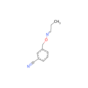 CCC=NOCc1cccc(C#N)c1